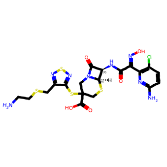 NCCSCc1nsnc1SC1(C(=O)O)CS[C@@H]2[C@H](NC(=O)C(=NO)c3nc(N)ccc3Cl)C(=O)N2C1